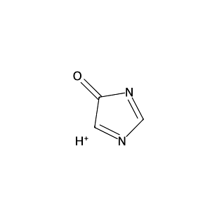 O=C1C=NC=N1.[H+]